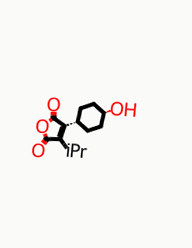 CC(C)C1=C([C@H]2CC[C@@H](O)CC2)C(=O)OC1=O